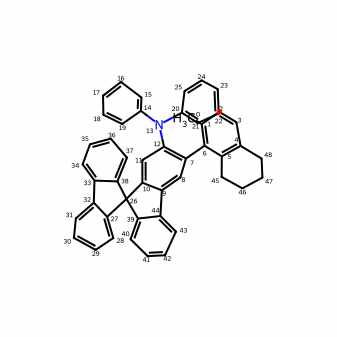 Cc1ccc2c(c1-c1cc3c(cc1N(c1ccccc1)c1ccccc1)C1(c4ccccc4-c4ccccc41)c1ccccc1-3)CCCC2